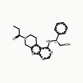 CCC(=O)N1CCc2c(sc3ncnc(N[C@H](CO)c4ccccc4)c23)C1